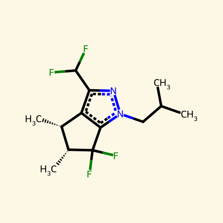 CC(C)Cn1nc(C(F)F)c2c1C(F)(F)[C@H](C)[C@@H]2C